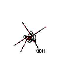 CCCCCCCCCCCCCCCCCC(=O)OCC(C)(COC(=O)CCCCCCCCCCCCCCCCC)C(=O)OCC(C)(COC(=O)C(C)(COC(=O)CCCCCCCCCCCCCCCCC)COC(=O)CCCCCCCCCCCCCCCCC)C(=O)OCc1cn(CCCCCCCCCCCC(=O)O)nn1